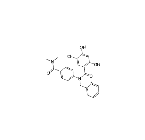 CN(C)C(=O)c1ccc(N(Cc2ccccn2)C(=O)c2cc(Cl)c(O)cc2O)cc1